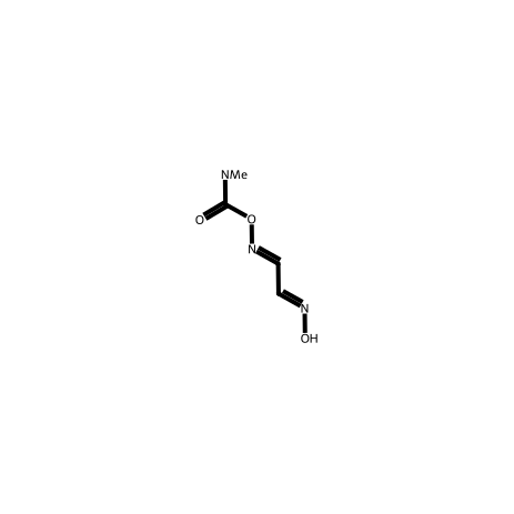 CNC(=O)ON=CC=NO